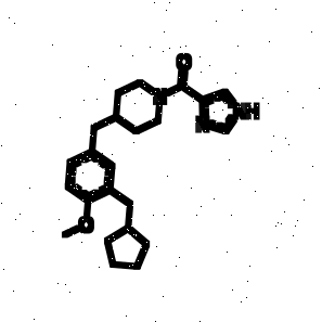 COc1ccc(CC2CCN(C(=O)c3c[nH]cn3)CC2)cc1CC1CCCC1